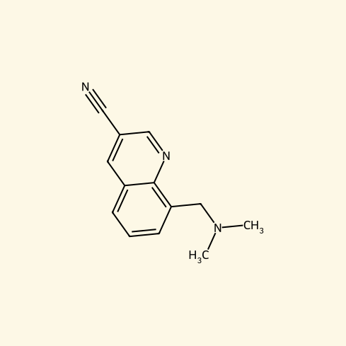 CN(C)Cc1cccc2cc(C#N)cnc12